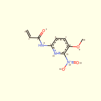 C=CC(=O)Nc1[c]cc(OC)c([N+](=O)[O-])n1